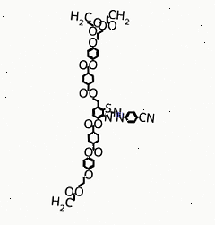 C=CC(=O)OCCCOc1ccc(OC(=O)C2CCC(C(=O)Oc3ccc(CCOC(=O)C4CCC(C(=O)Oc5ccc(OCC(COC(=O)C=C)OC(=O)C=C)cc5)CC4)c4sc(/N=N/c5ccc(C#N)cc5)nc34)CC2)cc1